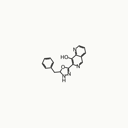 Oc1c(C2=NNC(Cc3ccccc3)O2)ncc2cccnc12